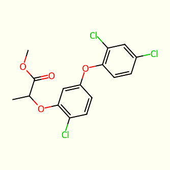 COC(=O)C(C)Oc1cc(Oc2ccc(Cl)cc2Cl)ccc1Cl